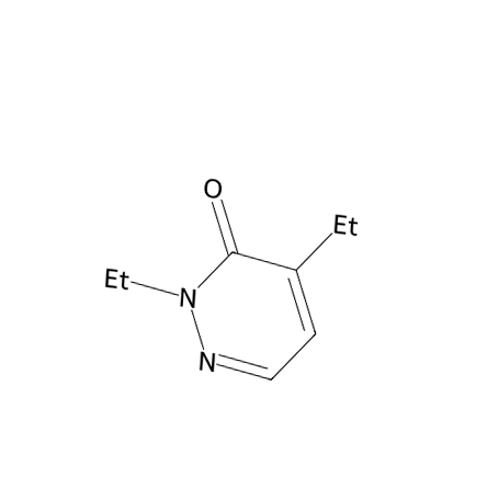 CCc1ccnn(CC)c1=O